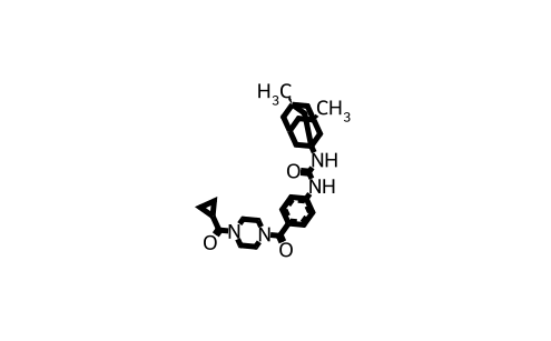 C[C@]12CC3CC(NC(=O)Nc4ccc(C(=O)N5CCN(C(=O)C6CC6)CC5)cc4)(C1)C[C@@](C)(C3)C2